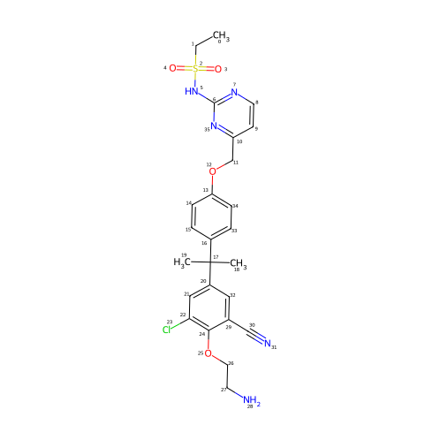 CCS(=O)(=O)Nc1nccc(COc2ccc(C(C)(C)c3cc(Cl)c(OCCN)c(C#N)c3)cc2)n1